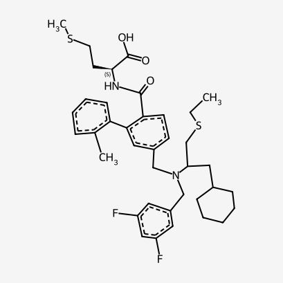 CCSCC(CC1CCCCC1)N(Cc1cc(F)cc(F)c1)Cc1ccc(C(=O)N[C@@H](CCSC)C(=O)O)c(-c2ccccc2C)c1